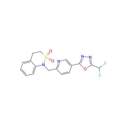 O=S1(=O)CCc2ccccc2N1Cc1ccc(-c2nnc(C(F)F)o2)cn1